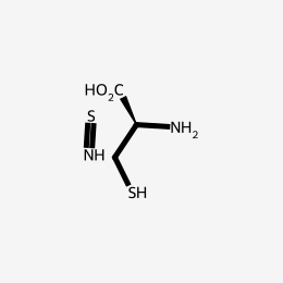 N=S.N[C@@H](CS)C(=O)O